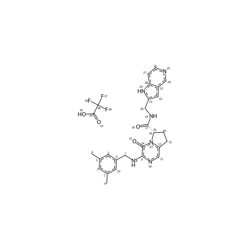 Cc1cc(C)cc(CNc2ncc3n(c2=O)[C@H](C(=O)NCc2cc4cnccc4[nH]2)CC3)c1.O=C(O)C(F)(F)F